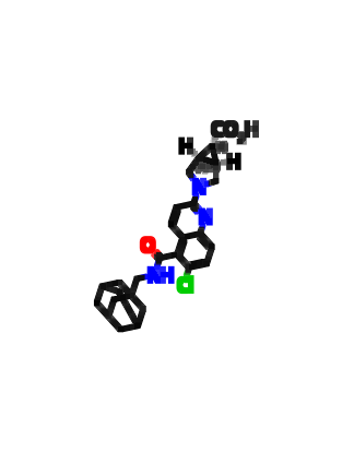 O=C(NCC12CC3CC(CC(C3)C1)C2)c1c(Cl)ccc2nc(N3C[C@@H]4[C@H](C3)[C@H]4C(=O)O)ccc12